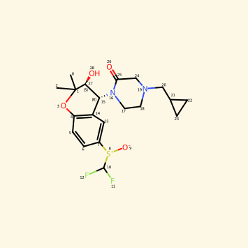 CC1(C)Oc2ccc([S+]([O-])C(F)F)cc2[C@@H](N2CCN(CC3CC3)CC2=O)[C@@H]1O